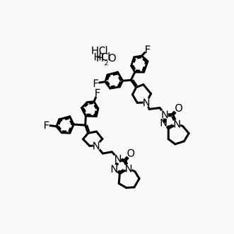 Cl.Cl.O.O=c1n(CCN2CCC(=C(c3ccc(F)cc3)c3ccc(F)cc3)CC2)nc2n1CCCCC2.O=c1n(CCN2CCC(=C(c3ccc(F)cc3)c3ccc(F)cc3)CC2)nc2n1CCCCC2